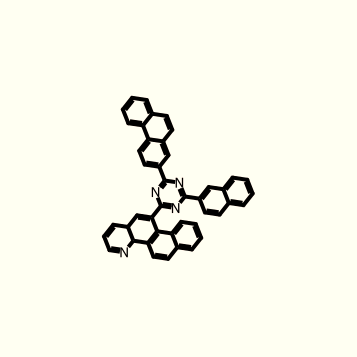 C1=CC2C=C(c3nc(-c4ccc5ccccc5c4)nc(-c4ccc5c(ccc6ccccc65)c4)n3)c3c(ccc4ccccc34)C2N=C1